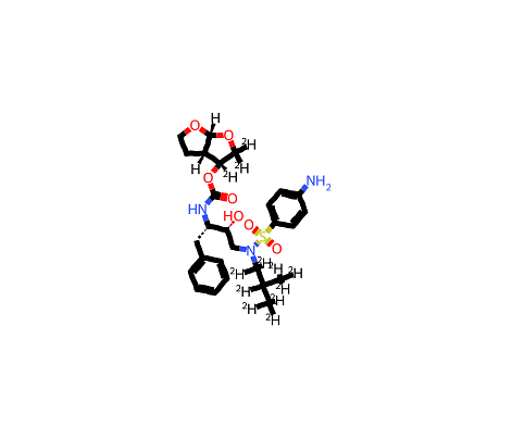 [2H]C([2H])([2H])C([2H])(C([2H])([2H])[2H])C([2H])([2H])N(C[C@@H](O)[C@H](Cc1ccccc1)NC(=O)O[C@]1([2H])[C@@H]2CCO[C@@H]2OC1([2H])[2H])S(=O)(=O)c1ccc(N)cc1